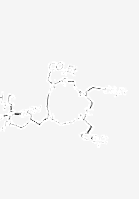 CCCCCCCCN(CC(O)CN1CCN(CC(=O)OCC)CCN(CC(=O)OCC)CCN(CC(=O)OCC)CC1)S(C)(=O)=O